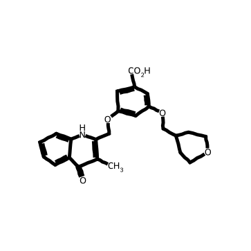 Cc1c(COc2cc(OCC3CCOCC3)cc(C(=O)O)c2)[nH]c2ccccc2c1=O